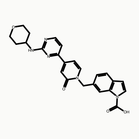 O=C(O)n1ccc2ccc(Cn3ccc(-c4ccnc(NC5CCOCC5)n4)cc3=O)cc21